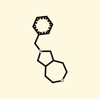 c1ccc(CN2CC3CCOCCC3C2)cc1